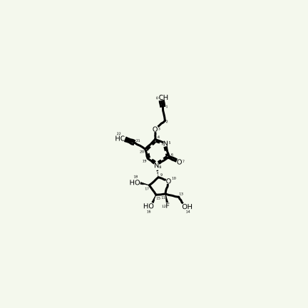 C#CCOc1nc(=O)n([C@@H]2O[C@](F)(CO)[C@@H](O)[C@H]2O)cc1C#C